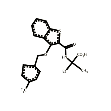 CCC(C)(NC(=O)c1sc2ccccc2c1OCc1ccc(C(F)(F)F)cc1)C(=O)O